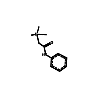 C[Si](C)(C)CC(=O)Nc1ccccc1